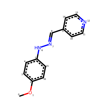 COc1ccc(NN=Cc2ccncc2)cc1